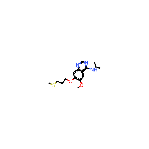 COc1cc2c(NC(C)C)ncnc2cc1OCCCSC